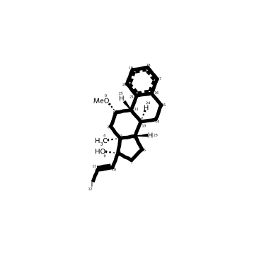 CO[C@H]1C[C@@]2(C)[C@@H](CC[C@@]2(O)/C=C/I)[C@@H]2CCc3ccccc3[C@H]21